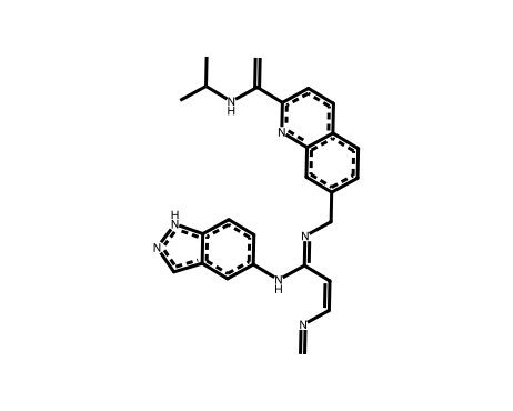 C=N/C=C\C(=N/Cc1ccc2ccc(C(=C)NC(C)C)nc2c1)Nc1ccc2[nH]ncc2c1